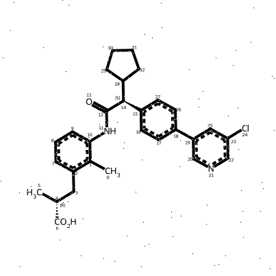 Cc1c(C[C@@H](C)C(=O)O)cccc1NC(=O)[C@H](c1ccc(-c2cncc(Cl)c2)cc1)C1CCCC1